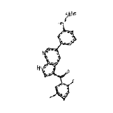 CSNc1cccc(-c2cnc3[nH]cc(C(=O)c4cc(C)ccc4F)c3c2)c1